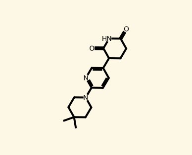 CC1(C)CCN(c2ccc(C3CCC(=O)NC3=O)cn2)CC1